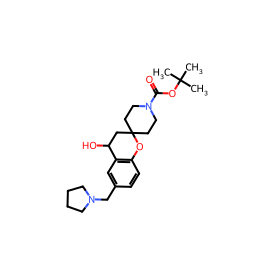 CC(C)(C)OC(=O)N1CCC2(CC1)CC(O)c1cc(CN3CCCC3)ccc1O2